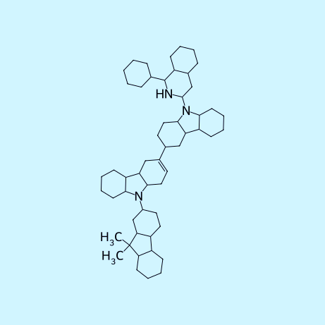 CC1(C)C2CCCCC2C2CCC(N3C4CC=C(C5CCC6C(C5)C5CCCCC5N6C5CC6CCCCC6C(C6CCCCC6)N5)CC4C4CCCCC43)CC21